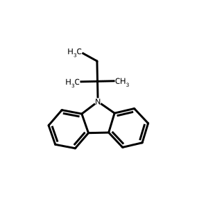 CCC(C)(C)n1c2ccccc2c2ccccc21